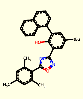 Cc1cc(C)c(-c2nc(-c3cc(C(C)(C)C)cc(-c4cccc5ccccc45)c3O)no2)c(C)c1